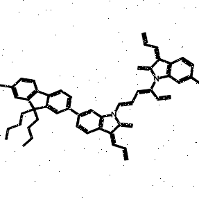 C=C/C=c1\c(=C)n(/C=C/C=C(\C=C)n2c(=C)/c(=C\C=C)c3ccc(C)cc32)c2cc(-c3ccc4c(c3)C(CCCC)(CCCC)c3cc(C)ccc3-4)ccc12